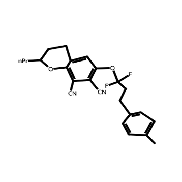 CCCC1CCc2cc(OC(F)(F)CCc3ccc(C)cc3)c(C#N)c(C#N)c2O1